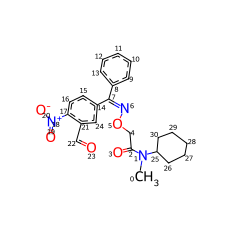 CN(C(=O)CON=C(c1ccccc1)c1ccc([N+](=O)[O-])c(C=O)c1)C1CCCCC1